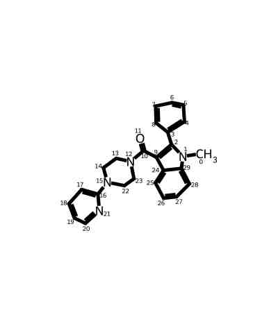 Cn1c(-c2ccccc2)c(C(=O)N2CCN(c3ccccn3)CC2)c2ccccc21